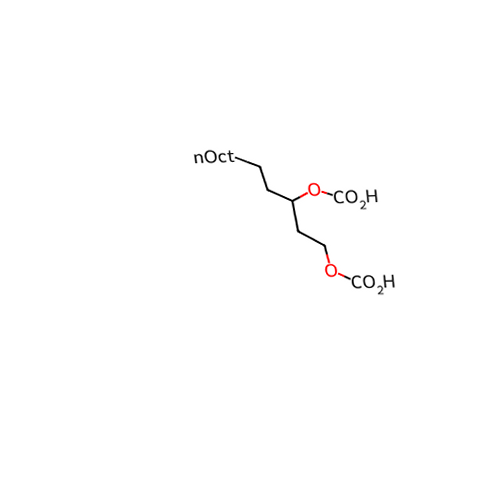 CCCCCCCCCCC(CCOC(=O)O)OC(=O)O